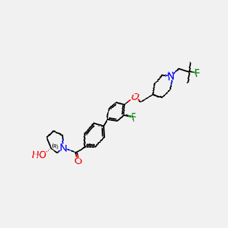 CC(C)(F)CN1CCC(COc2ccc(-c3ccc(C(=O)N4CCC[C@@H](O)C4)cc3)cc2F)CC1